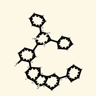 Fc1ccc(-c2nc(-c3ccccc3)nc(-c3ccccc3)n2)cc1-c1ccc2oc3ccc(-c4ccccc4)cc3c2c1